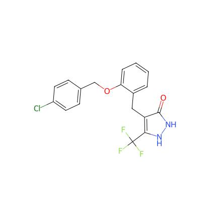 O=c1[nH][nH]c(C(F)(F)F)c1Cc1ccccc1OCc1ccc(Cl)cc1